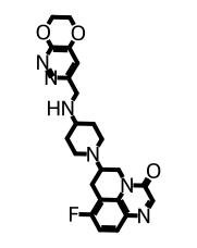 O=c1cnc2ccc(F)c3c2n1CC(N1CCC(NCc2cc4c(nn2)OCCO4)CC1)C3